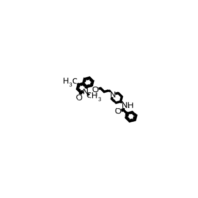 Cc1cc(=O)n(C)c2c(OCCCN3CCC(NC(=O)c4ccccc4)CC3)cccc12